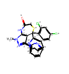 Cn1nc(-c2ccccn2)c2c1NC(=O)CSC2(c1ccccn1)c1ccc(Cl)cc1Cl